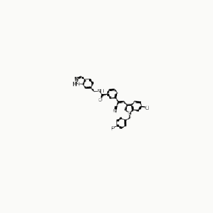 N#CC(=Cc1cn(Cc2ccc(F)cc2)c2cc(Cl)ccc12)c1cccc(C(=O)NCc2ccc3cn[nH]c3c2)c1